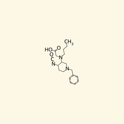 CCCCN(CC(=O)O)C1CN(Cc2ccccc2)CCC1N=C=O